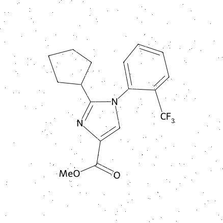 COC(=O)c1cn(-c2ccccc2C(F)(F)F)c(C2CCCC2)n1